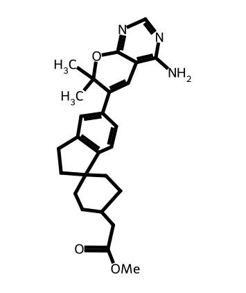 COC(=O)CC1CCC2(CCc3cc(C4=Cc5c(N)ncnc5OC4(C)C)ccc32)CC1